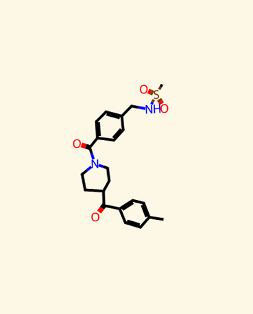 Cc1ccc(C(=O)C2CCN(C(=O)c3ccc(CNS(C)(=O)=O)cc3)CC2)cc1